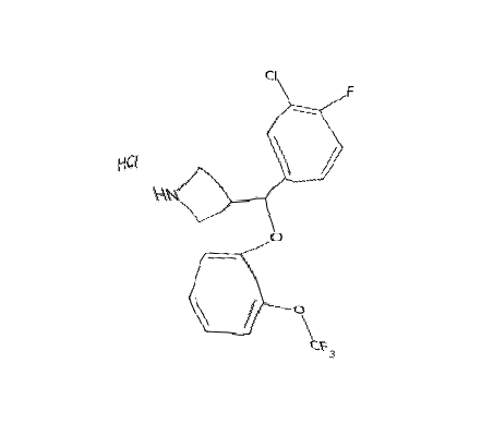 Cl.Fc1ccc(C(Oc2ccccc2OC(F)(F)F)C2CNC2)cc1Cl